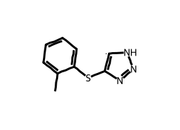 Cc1ccccc1Sc1[c][nH]nn1